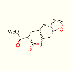 COC(=O)c1cc2cc3ccoc3cc2oc1=O